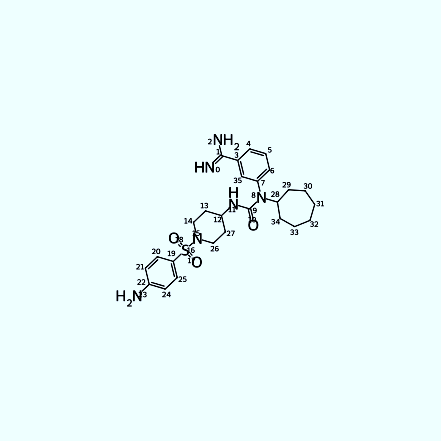 N=C(N)c1cccc(N(C(=O)NC2CCN(S(=O)(=O)c3ccc(N)cc3)CC2)C2CCCCCC2)c1